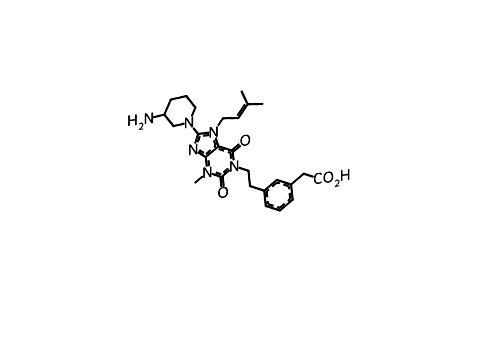 CC(C)=CCn1c(N2CCCC(N)C2)nc2c1c(=O)n(CCc1cccc(CC(=O)O)c1)c(=O)n2C